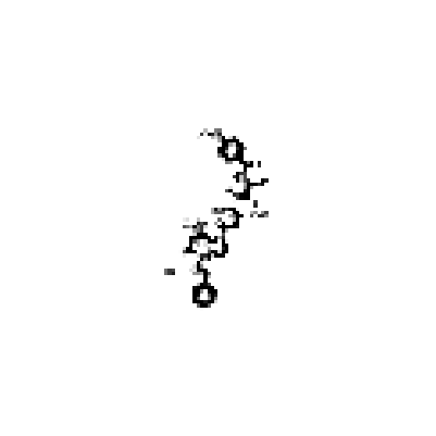 CC[C@H](C)[C@@H]([C@@H](CC(=O)N1CCC[C@H]1[C@H](OC)[C@@H](C)C(=O)N[C@@H](Cc1ccccc1)C(=O)O)OC)N(C)C(=O)[C@@H](NC(=O)c1ccc(NC)cc1)C(C)C